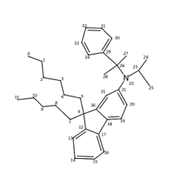 CCCCCCC1(CCCCC)c2ccccc2-c2ccc(N(C(C)C)C(C)(C)c3ccccc3)cc21